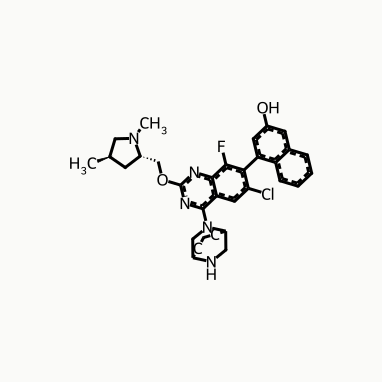 C[C@@H]1C[C@@H](COc2nc(N3CC4CCCC3CN4)c3cc(Cl)c(-c4cc(O)cc5ccccc45)c(F)c3n2)N(C)C1